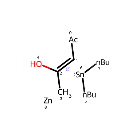 CC(=O)/C=C(/C)O.CCC[CH2][Sn][CH2]CCC.[Zn]